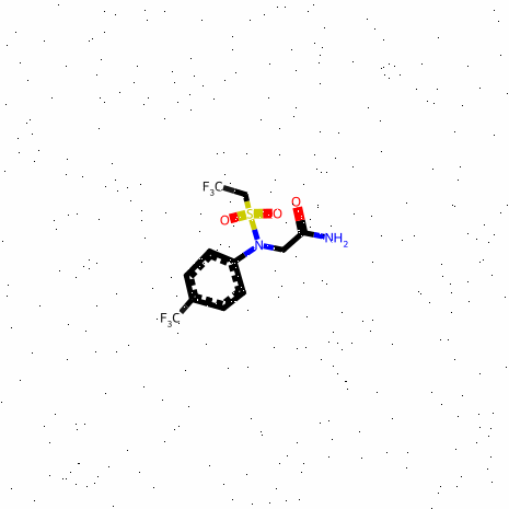 NC(=O)CN(c1ccc(C(F)(F)F)cc1)S(=O)(=O)CC(F)(F)F